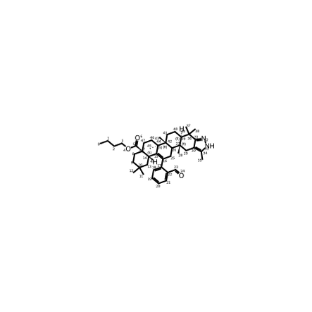 CCCCOC(=O)[C@]12CCC(C)(C)C[C@H]1C1=C(c3ccccc3C=O)CC3[C@@]4(C)Cc5c(n[nH]c5C)C(C)(C)[C@@H]4CC[C@@]3(C)[C@]1(C)CC2